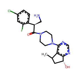 CC1C[C@@H](O)c2ncnc(N3CCN(C(=O)[C@H](CN)c4ccc(Cl)cc4F)CC3)c21